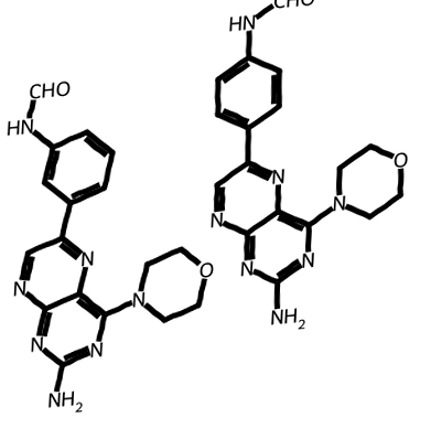 Nc1nc(N2CCOCC2)c2nc(-c3ccc(NC=O)cc3)cnc2n1.Nc1nc(N2CCOCC2)c2nc(-c3cccc(NC=O)c3)cnc2n1